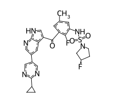 Cc1cc(NS(=O)(=O)N2CC[C@@H](F)C2)c(F)c(C(=O)c2c[nH]c3ncc(-c4cnc(C5CC5)nc4)cc23)c1